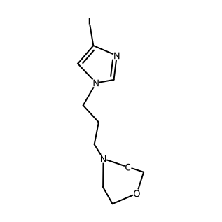 Ic1cn(CCCN2CCOCC2)cn1